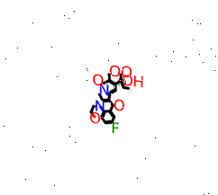 CC[C@@]1(O)C(=O)OCc2c1cc1n(c2=O)Cc2c-1c(=O)c1cc(F)cc3c1n2CCO3